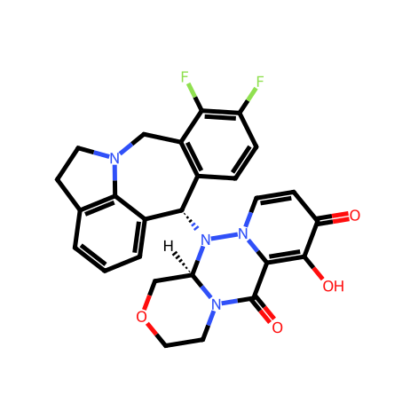 O=C1c2c(O)c(=O)ccn2N([C@H]2c3ccc(F)c(F)c3CN3CCc4cccc2c43)[C@@H]2COCCN12